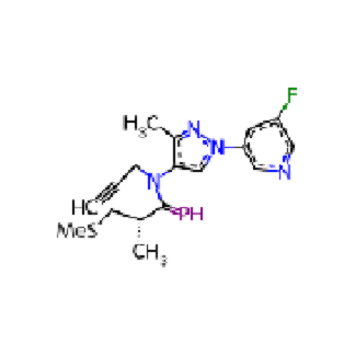 C#CCN(C(=P)[C@H](C)CSC)c1cn(-c2cncc(F)c2)nc1C